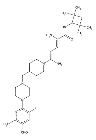 Cc1cc(N2CCN(CC3CCN(/C(N)=C/C=C(\N)C(=O)NC4C(C)(C)CC4(C)C)CC3)CC2)c(F)cc1C=O